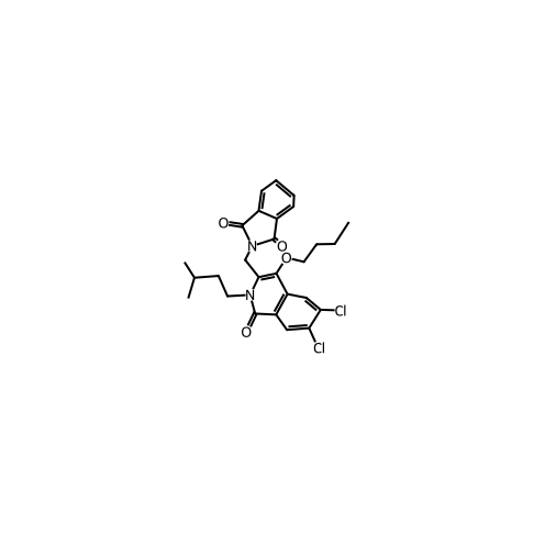 CCCCOc1c(CN2C(=O)c3ccccc3C2=O)n(CCC(C)C)c(=O)c2cc(Cl)c(Cl)cc12